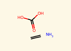 C=C.N.O=C(O)O